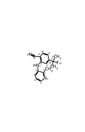 Cc1ncccc1Nc1cc(C(C)(C)F)ccc1C#N